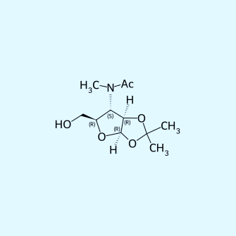 CC(=O)N(C)[C@@H]1[C@H]2OC(C)(C)O[C@H]2O[C@H]1CO